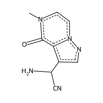 Cn1ccn2ncc(C(N)C#N)c2c1=O